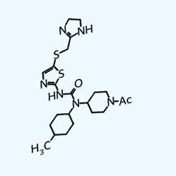 CC(=O)N1CCC(N(C(=O)Nc2ncc(SCC3=NCCN3)s2)C2CCC(C)CC2)CC1